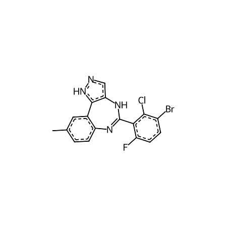 Cc1ccc2c(c1)-c1[nH]ncc1NC(c1c(F)ccc(Br)c1Cl)=N2